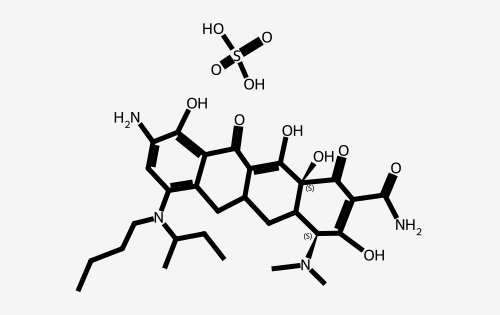 CCCCN(c1cc(N)c(O)c2c1CC1CC3[C@H](N(C)C)C(O)=C(C(N)=O)C(=O)[C@@]3(O)C(O)=C1C2=O)C(C)CC.O=S(=O)(O)O